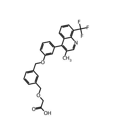 Cc1cnc2c(C(F)(F)F)cccc2c1-c1cccc(OCc2cccc(COCC(=O)O)c2)c1